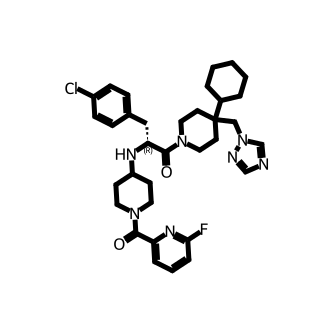 O=C(c1cccc(F)n1)N1CCC(N[C@H](Cc2ccc(Cl)cc2)C(=O)N2CCC(Cn3cncn3)(C3CCCCC3)CC2)CC1